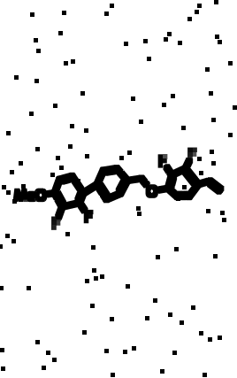 C=Cc1ccc(OCc2ccc(-c3ccc(OC)c(F)c3F)cc2)c(F)c1F